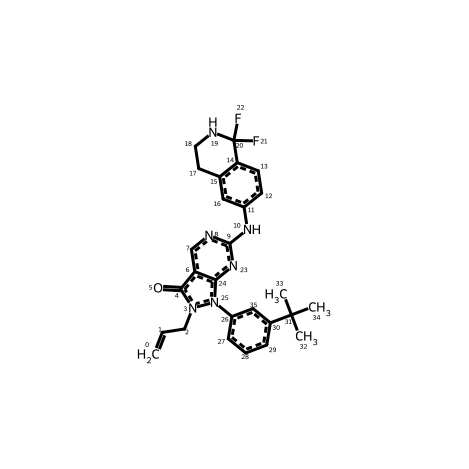 C=CCn1c(=O)c2cnc(Nc3ccc4c(c3)CCNC4(F)F)nc2n1-c1cccc(C(C)(C)C)c1